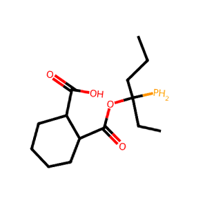 CCCC(P)(CC)OC(=O)C1CCCCC1C(=O)O